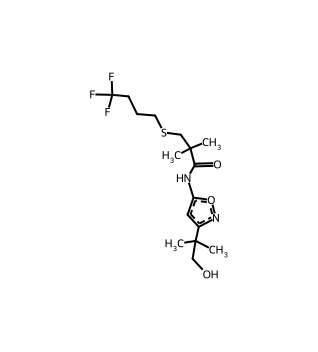 CC(C)(CSCCCC(F)(F)F)C(=O)Nc1cc(C(C)(C)CO)no1